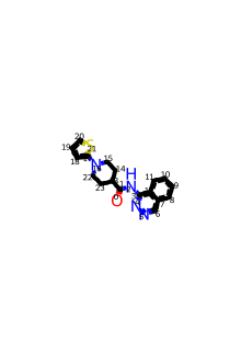 O=C(Nc1nncc2ccccc12)C1CCN(c2cccs2)CC1